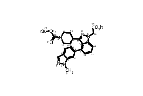 Cn1ncc2cc(F)c(-c3cccc4c3c(C3CCN(C(=O)OC(C)(C)C)CC3)nn4CC(=O)O)cc21